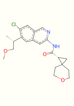 COC[C@H](C)c1cc2cc(NC(=O)[C@@H]3CC34CCOCC4)ncc2cc1Cl